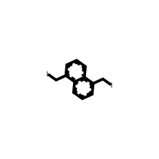 ICc1cccc2c(CI)cccc12